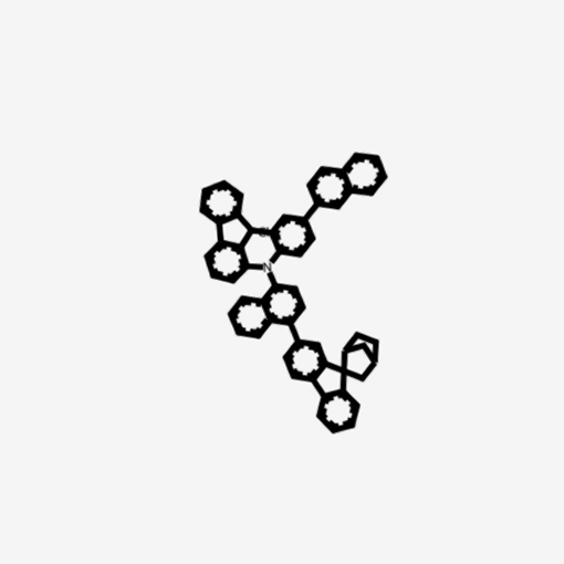 CC12c3ccccc3-c3cccc(c31)N(c1ccc(-c3ccc4c(c3)C3(CC5CCC3C5)c3ccccc3-4)c3ccccc13)c1ccc(-c3ccc4ccccc4c3)cc12